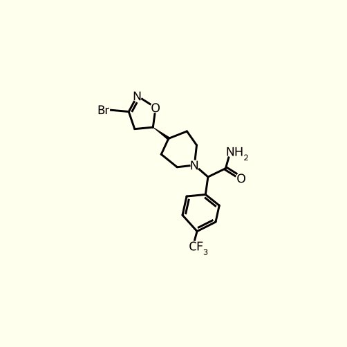 NC(=O)C(c1ccc(C(F)(F)F)cc1)N1CCC([C@H]2CC(Br)=NO2)CC1